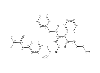 COCCNc1nc(N[C@@H](Cc2ccc(OC(=O)N(C)C)cc2)C(=O)O)nc(N(Cc2cccnc2)Cc2cccnc2)n1